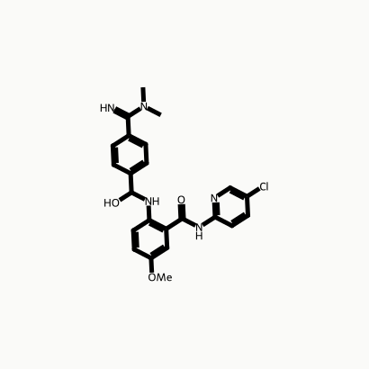 COc1ccc(NC(O)c2ccc(C(=N)N(C)C)cc2)c(C(=O)Nc2ccc(Cl)cn2)c1